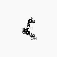 COc1cc(/C=N/CNC2=NS(=O)(=O)c3ccc(OCC(=O)O)cc32)ccc1F